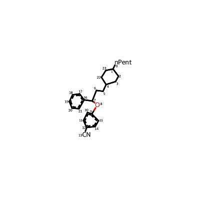 CCCCCC1CCC(CCC(Oc2ccc(C#N)cc2)c2ccccc2)CC1